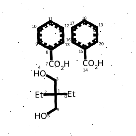 CCC(CC)(CO)CO.O=C(O)c1ccccc1.O=C(O)c1ccccc1